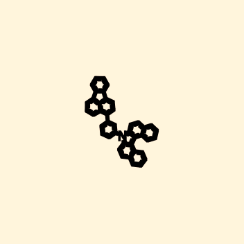 c1cc(-c2ccc3c4c(cccc24)-c2ccccc2-3)cc(-n2c3ccc4ccccc4c3c3c4ccccc4ccc32)c1